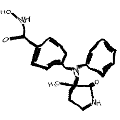 CC1(N(c2ccccc2)c2ccc(C(=O)NO)cc2)CCNC1=O